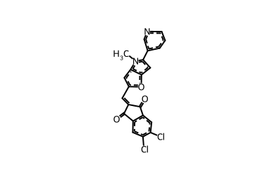 Cn1c(-c2cccnc2)cc2oc(C=C3C(=O)c4cc(Cl)c(Cl)cc4C3=O)cc21